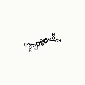 O=S(=O)(c1ccc(OCC(O)CO)cc1)c1ccc(OCC(O)CCl)c(Cl)c1